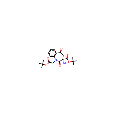 CC(C)(C)OC(=O)CN1C(=O)[C@](N)(C(=O)OC(C)(C)C)CC(=O)c2ccccc21